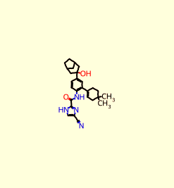 CC1(C)CC=C(c2cc(C3(O)CC4CCC(C4)C3)ccc2NC(=O)c2nc(C#N)c[nH]2)CC1